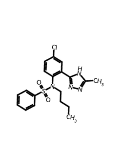 CCCCN(c1ccc(Cl)cc1-c1nnc(C)[nH]1)S(=O)(=O)c1ccccc1